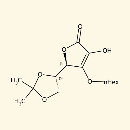 CCCCCCOC1=C(O)C(=O)O[C@@H]1[C@@H]1COC(C)(C)O1